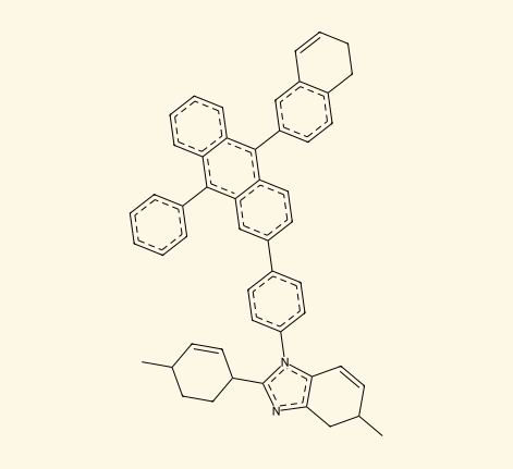 CC1C=CC(c2nc3c(n2-c2ccc(-c4ccc5c(-c6ccc7c(c6)C=CCC7)c6ccccc6c(-c6ccccc6)c5c4)cc2)C=CC(C)C3)CC1